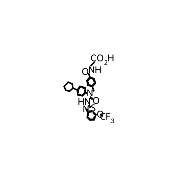 O=C(O)CCNC(=O)c1ccc(CN(C(=O)Nc2nc3cccc(OC(F)(F)F)c3s2)c2ccc(C3CCCCC3)cc2)cc1